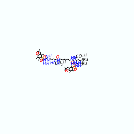 Cc1c(C)c(S(=O)(=O)NC(=N)NCCC[C@H](NC(=O)O)C(=O)NCCC=CCCNC(=O)[C@H](CCC(N(C(=N)NS(=O)(=O)c2c(C)c(C)c3c(c2C)CC(C)(C)O3)C(C)(C)C)C(C)(C)C)NC(=O)O)c(C)c2c1OC(C)(C)C2